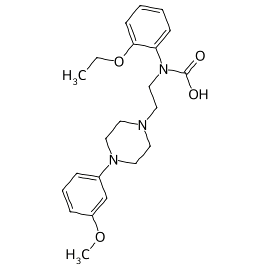 CCOc1ccccc1N(CCN1CCN(c2cccc(OC)c2)CC1)C(=O)O